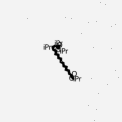 CC(C)OC(=O)CCCCCCCCCCCCCC(C(C)C)C(C(=O)OC(C)C)C(C)C